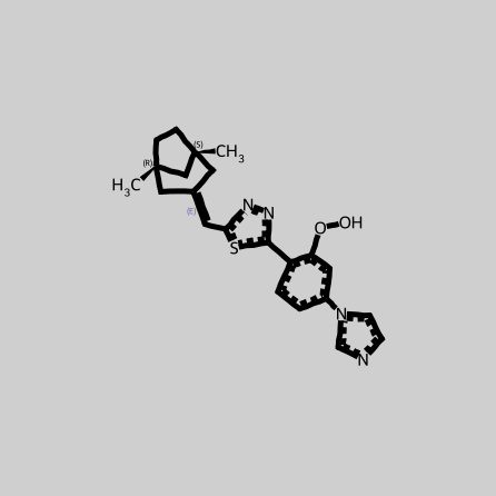 C[C@]12CC[C@](C)(C/C(=C\c3nnc(-c4ccc(-n5ccnc5)cc4OO)s3)C1)C2